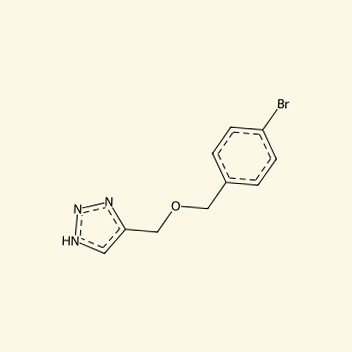 Brc1ccc(COCc2c[nH]nn2)cc1